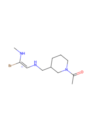 CN/C(Br)=C\NCC1CCCN(C(C)=O)C1